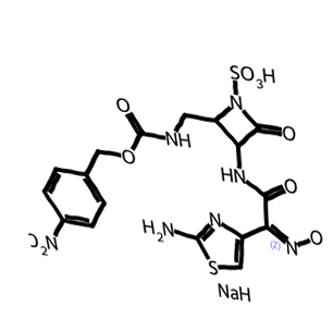 CO/N=C(\C(=O)NC1C(=O)N(S(=O)(=O)O)C1CNC(=O)OCc1ccc([N+](=O)[O-])cc1)c1csc(N)n1.[NaH]